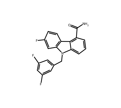 NC(=O)c1cccc2c1c1[c]cc(F)cc1n2Cc1cc(F)cc(F)c1